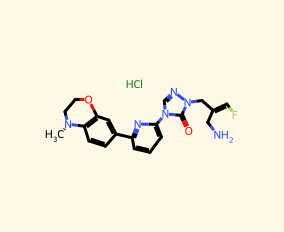 CN1CCOc2cc(-c3cccc(-n4cnn(C/C(=C/F)CN)c4=O)n3)ccc21.Cl